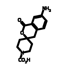 Nc1ccc2c(c1)C(=O)OC1(CCN(C(=O)O)CC1)C2